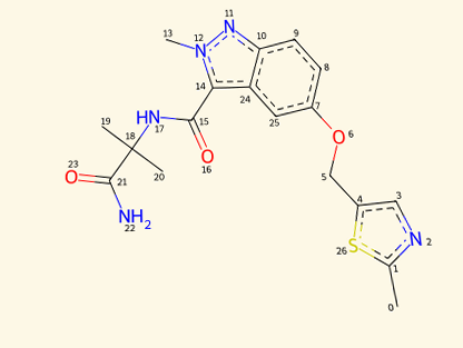 Cc1ncc(COc2ccc3nn(C)c(C(=O)NC(C)(C)C(N)=O)c3c2)s1